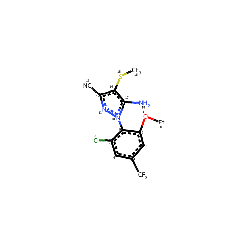 CCOc1cc(C(F)(F)F)cc(Cl)c1-n1nc(C#N)c(SC(F)(F)F)c1N